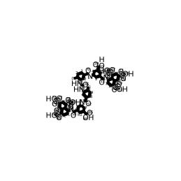 Cc1ccc(C(=O)N=C2C=C(C(=O)Nc3ccc(S(=O)(=O)O)c4cc(S(=O)(=O)O)cc(S(=O)(=O)O)c34)C=C(C(=O)O)C2)cc1NC(=O)Nc1cc(C(=O)N=C2C=C(C(=O)Nc3ccc(S(=O)(=O)O)c4cc(S(=O)(=O)O)cc(S(=O)(=O)O)c34)C=C(C(=O)O)C2)ccc1C